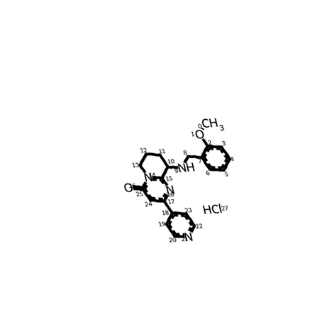 COc1ccccc1CNC1CCCn2c1nc(-c1ccncc1)cc2=O.Cl